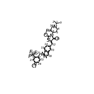 CC(C)N1CC[C@@H](N2C(=O)S/C(=C\c3ccc4c(cnn4Cc4ccc(Cl)cc4C(F)(F)F)c3)C2=O)[C@H](F)C1